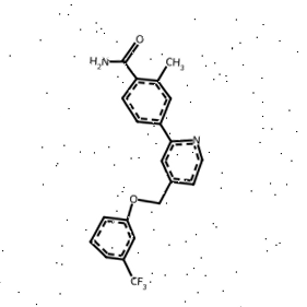 Cc1cc(-c2cc(COc3cccc(C(F)(F)F)c3)ccn2)ccc1C(N)=O